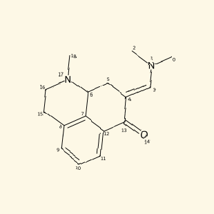 CN(C)/C=C1\CC2c3c(cccc3C1=O)CCN2C